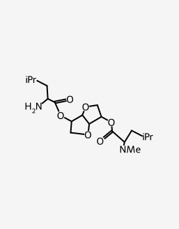 CNC(CC(C)C)C(=O)OC1COC2C(OC(=O)C(N)CC(C)C)COC12